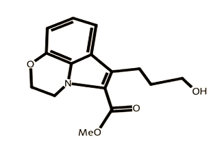 COC(=O)c1c(CCCO)c2cccc3c2n1CCO3